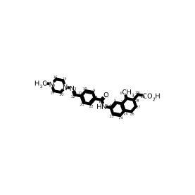 CC1c2cc(NC(=O)c3ccc(C=NN4CCN(C)CC4)cc3)ccc2CCC1CC(=O)O